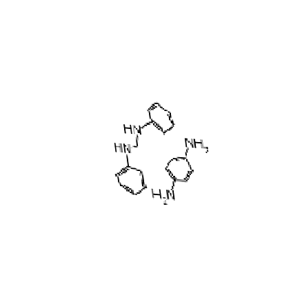 Nc1ccc(N)cc1.c1ccc(NCNc2ccccc2)cc1